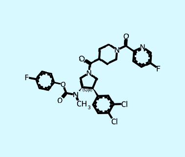 CN(C(=O)Oc1ccc(F)cc1)[C@@H]1CN(C(=O)C2CCN(C(=O)c3ccc(F)cn3)CC2)C[C@H]1c1ccc(Cl)c(Cl)c1